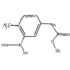 Cc1ccc(NC(=O)OC(C)(C)C)cc1B(O)O